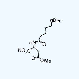 CCCCCCCCCCCCCCC(=O)N[C@@H](CC(=O)OC)C(=O)O